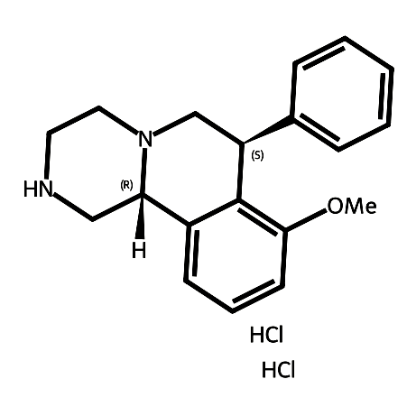 COc1cccc2c1[C@H](c1ccccc1)CN1CCNC[C@@H]21.Cl.Cl